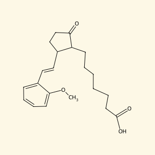 COc1ccccc1C=CC1CCC(=O)C1CCCCCCC(=O)O